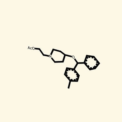 CC(=O)OCCN1CCC(OC(c2ccccc2)c2ccc(C)cc2)CC1